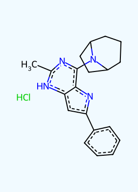 Cc1nc(N2C3CCCC2CC3)c2nc(-c3ccccc3)cc-2[nH]1.Cl